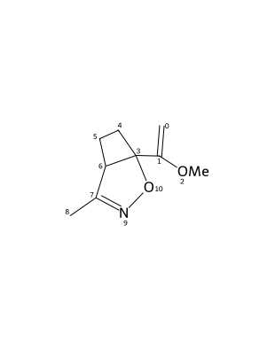 C=C(OC)C12CCC1C(C)=NO2